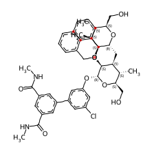 CNC(=O)c1cc(C(=O)NC)cc(-c2cc(Cl)cc(O[C@H]3O[C@H](CO)[C@@H](C)[C@H](C[C@H]4O[C@H](CO)[C@@H](C)[C@H](C)[C@@H]4OCc4ccccc4)[C@@H]3OCc3ccccc3)c2)c1